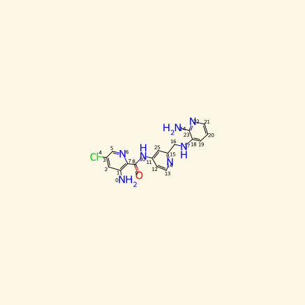 Nc1cc(Cl)cnc1C(=O)Nc1ccnc(CNc2cccnc2N)c1